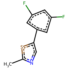 Cc1ncc(-c2cc(F)cc(F)c2)s1